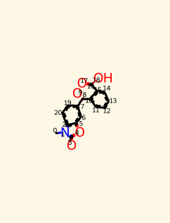 Cn1c(=O)oc2cc(C(=O)c3ccccc3C(=O)O)ccc21